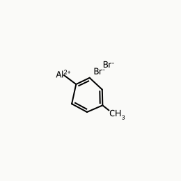 Cc1cc[c]([Al+2])cc1.[Br-].[Br-]